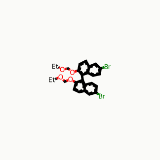 CCOCOc1ccc2cc(Br)ccc2c1-c1c(OCOCC)ccc2cc(Br)ccc12